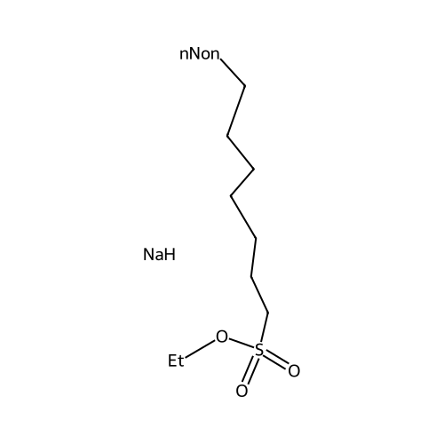 CCCCCCCCCCCCCCCCS(=O)(=O)OCC.[NaH]